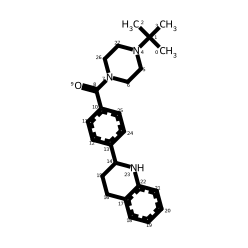 CC(C)(C)N1CCN(C(=O)c2ccc(C3CCc4ccccc4N3)cc2)CC1